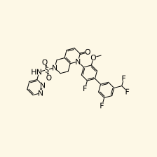 COc1cc(-c2cc(F)cc(C(F)F)c2)c(F)cc1-n1c2c(ccc1=O)CN(S(=O)(=O)Nc1cccnn1)CC2